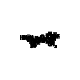 C[C@]1(C(F)(F)F)CN(C(=O)Nc2cnc(N/N=C\C=N)c(C(F)(F)F)c2)c2cnc3cc(F)nn3c21